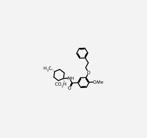 COc1ccc(C(=O)N[C@]2(C(=O)O)CC[C@@H](C)CC2)cc1OCCc1ccccc1